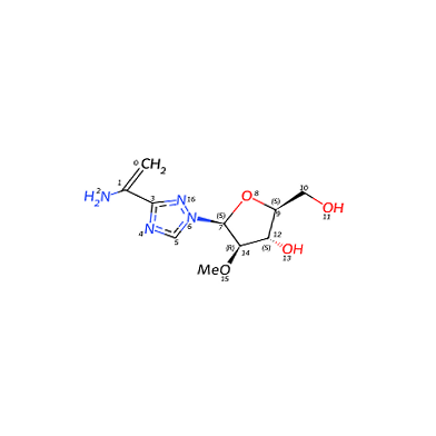 C=C(N)c1ncn([C@H]2O[C@@H](CO)[C@H](O)[C@H]2OC)n1